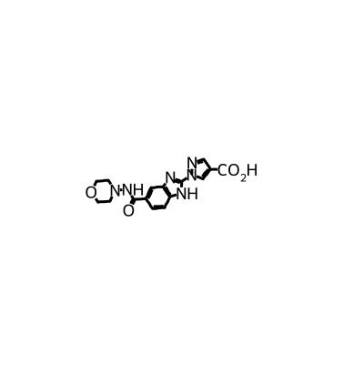 O=C(O)c1cnn(-c2nc3cc(C(=O)NN4CCOCC4)ccc3[nH]2)c1